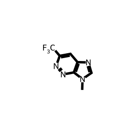 Cn1cnc2cc(C(F)(F)F)nnc21